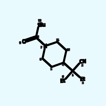 CCC(C#N)(CC)C1CCN(C(=O)C(C)(C)C)CC1